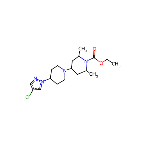 CCOC(=O)N1C(C)CC(N2CCC(n3cc(Cl)cn3)CC2)CC1C